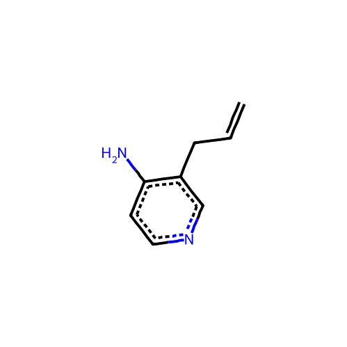 C=CCc1cnccc1N